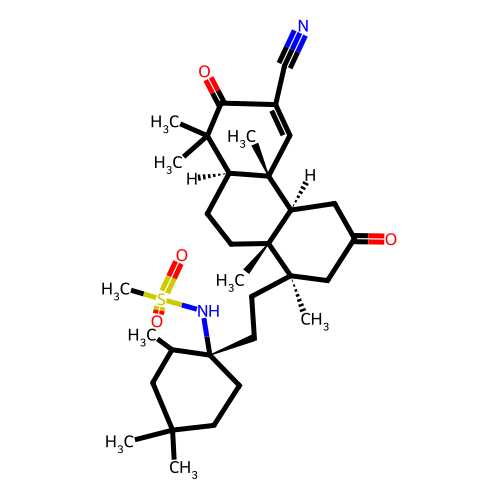 CC1CC(C)(C)CC[C@@]1(CC[C@]1(C)CC(=O)C[C@@H]2[C@@]3(C)C=C(C#N)C(=O)C(C)(C)[C@@H]3CC[C@]21C)NS(C)(=O)=O